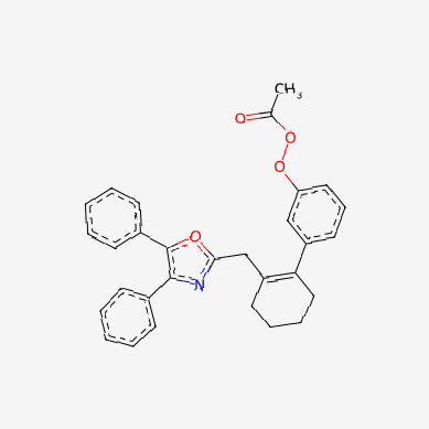 CC(=O)OOc1cccc(C2=C(Cc3nc(-c4ccccc4)c(-c4ccccc4)o3)CCCC2)c1